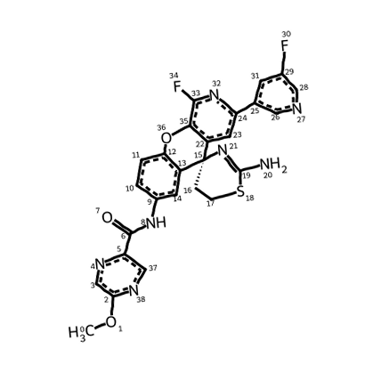 COc1cnc(C(=O)Nc2ccc3c(c2)[C@@]2(CCSC(N)=N2)c2cc(-c4cncc(F)c4)nc(F)c2O3)cn1